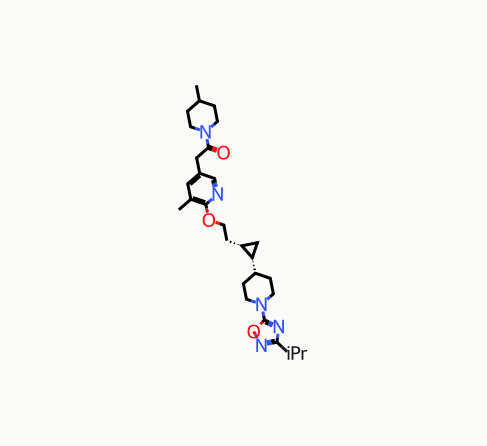 Cc1cc(CC(=O)N2CCC(C)CC2)cnc1OCC[C@@H]1C[C@@H]1C1CCN(c2nc(C(C)C)no2)CC1